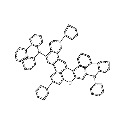 c1ccc(-c2ccc3c(N(c4ccccc4)c4ccccc4-c4ccccc4)cc4c5cc(-c6ccccc6)cc6c5c(cc4c3c2)-c2ccc(N(c3ccccc3)c3ccccc3-c3ccccc3)cc2O6)cc1